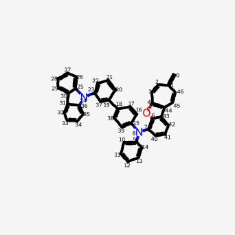 C=C1C=Cc2oc3c(N(c4ccccc4)c4ccc(-c5cccc(-n6c7ccccc7c7ccccc76)c5)cc4)cccc3c2C=C1